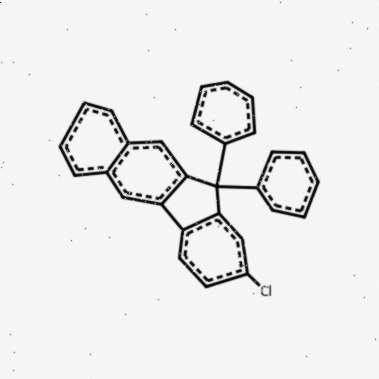 Clc1ccc2c(c1)C(c1ccccc1)(c1ccccc1)c1cc3ccccc3cc1-2